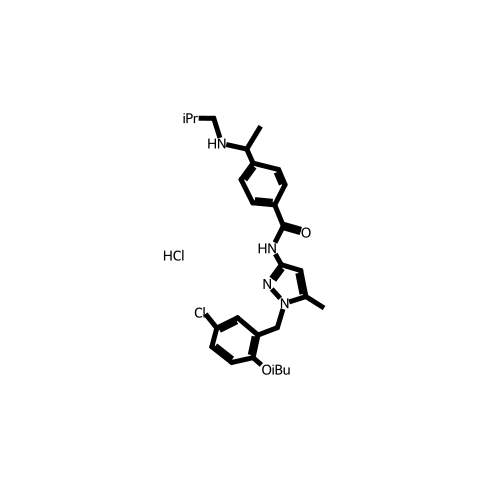 Cc1cc(NC(=O)c2ccc(C(C)NCC(C)C)cc2)nn1Cc1cc(Cl)ccc1OCC(C)C.Cl